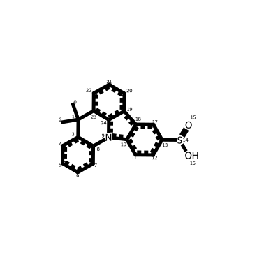 CC1(C)c2ccccc2-n2c3ccc(S(=O)O)cc3c3cccc1c32